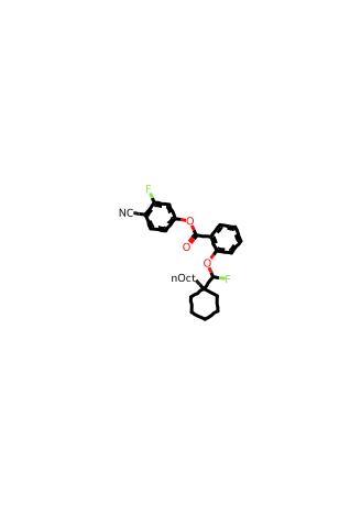 CCCCCCCCC1(C(F)Oc2ccccc2C(=O)Oc2ccc(C#N)c(F)c2)CCCCC1